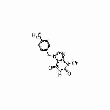 Cc1ccc(Cn2cnc3c2c(=O)[nH]c(=O)n3C(C)C)cc1